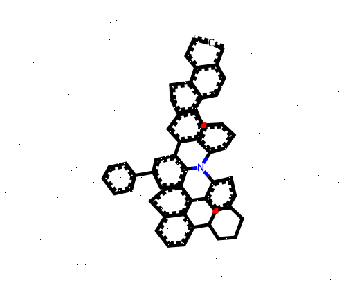 c1ccc(-c2ccc(N(c3cccc(-c4cccc5c4ccc4ccccc45)c3)c3ccccc3-c3cccc4cccc(C5CCCCC5)c34)c(-c3ccccc3)c2)cc1